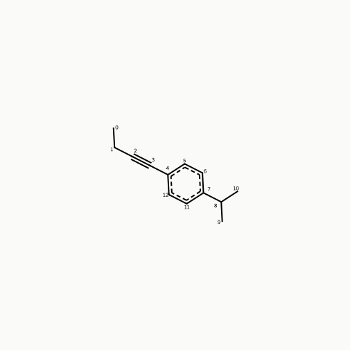 CCC#Cc1ccc(C(C)C)cc1